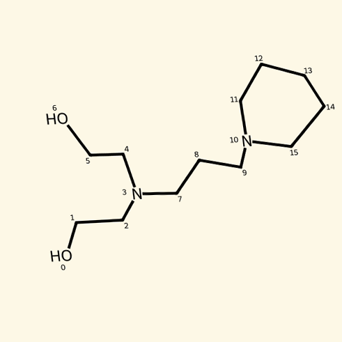 OCCN(CCO)CCCN1CCCCC1